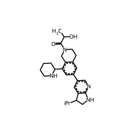 CC(O)C(=O)N1CCc2cc(-c3cnc4c(c3)C(C(C)C)CN4)cc(C3CCCCN3)c2C1